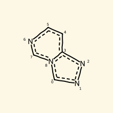 [c]1nnc2ccncn12